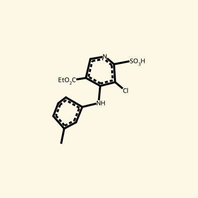 CCOC(=O)c1cnc(S(=O)(=O)O)c(Cl)c1Nc1cccc(C)c1